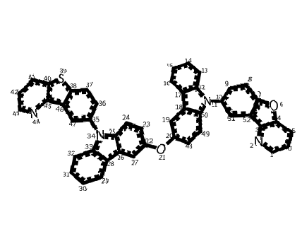 c1cnc2c(c1)oc1ccc(-n3c4ccccc4c4cc(Oc5ccc6c(c5)c5ccccc5n6-c5ccc6sc7cccnc7c6c5)ccc43)cc12